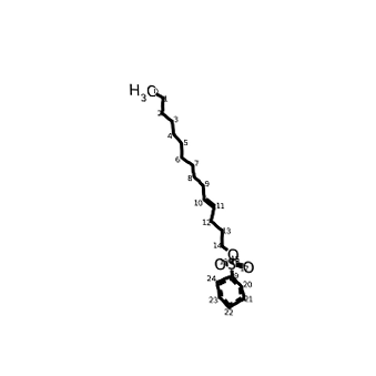 CCCCCCCCCCC=CCCCOS(=O)(=O)c1ccccc1